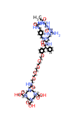 CCC(=O)NCCNC(=O)/N=C(/N)NCCC[C@@H](NC(=O)C(c1ccccc1)c1cccc(OCCOCCOCCOCCOCCNC(=O)CN2CCN(CC(=O)O)CCN(CC(=O)O)CCN(CC(=O)O)CC2)c1)C(=O)NCc1ccc(CNC(N)=O)cc1